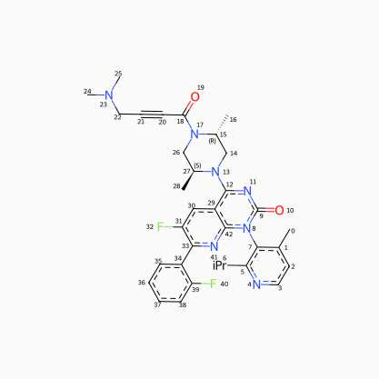 Cc1ccnc(C(C)C)c1-n1c(=O)nc(N2C[C@@H](C)N(C(=O)C#CCN(C)C)C[C@@H]2C)c2cc(F)c(-c3ccccc3F)nc21